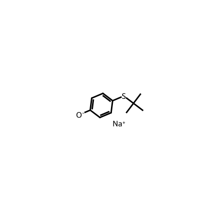 CC(C)(C)Sc1ccc([O-])cc1.[Na+]